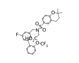 CC1(C)CCc2cc(S(=O)(=O)N(CC(=O)O)Cc3cc(F)cc(-c4ccccc4OC(F)(F)F)c3)ccc2O1